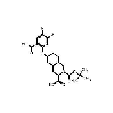 CC(C)(C)OC(=O)N1CC2CCC(Oc3cc(F)c(F)cc3C(=O)O)CC2CC1C(=O)O